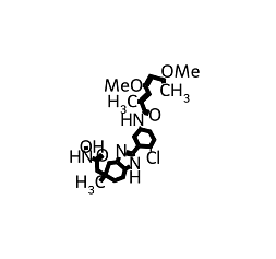 COC(=C/C(C)OC)/C=C(\C)C(=O)N[C@@H]1CC[C@H](Cl)C(C2=NC3CC(C)(CC(=O)NO)CCC3N2)C1